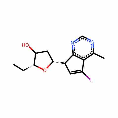 CC[C@H]1O[C@@H](C2C=C(I)c3c(C)ncnc32)CC1O